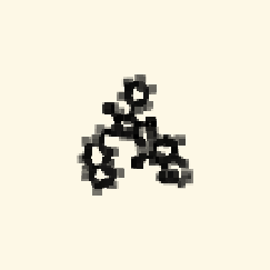 CC1=C(C(=O)O)N2C(=O)C(NC(=O)C(C(=O)OCc3ccc4ccccc4c3)c3ccccc3)[C@H]2SC1